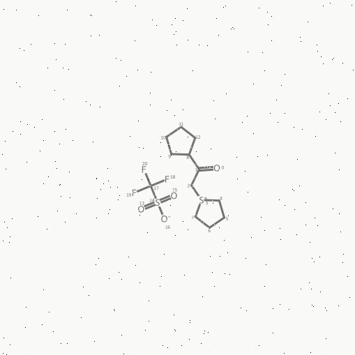 O=C(C[S+]1CCCC1)C1CCCC1.O=S(=O)([O-])C(F)(F)F